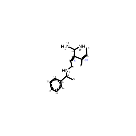 C/C=C(C)\C(=C/CNC(C)c1ccccc1)C(N)N